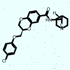 O=C(N[C@H]1CN2CCC1CC2)c1ccc2c(c1)O[C@@H](COc1ccc(Cl)cc1)CO2